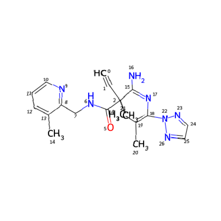 C#CC(C)(C(=O)NCc1ncccc1C)/C(N)=N\C(=C(C)C)n1nccn1